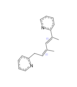 CC(=C/Cc1ccccn1)/C=C(\C)c1ccccn1